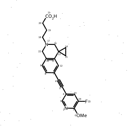 COc1ncc(C#Cc2ccc3c(c2)C2(CC2)CN(CCCC(=O)O)C3)cc1F